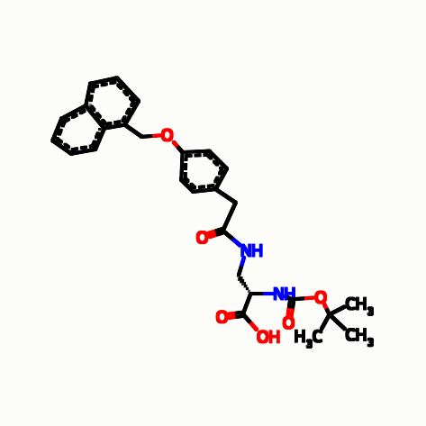 CC(C)(C)OC(=O)N[C@@H](CNC(=O)Cc1ccc(OCc2cccc3ccccc23)cc1)C(=O)O